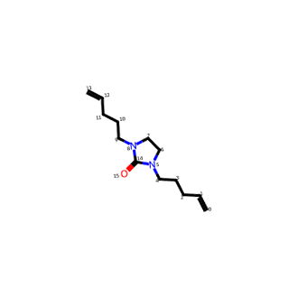 C=CCCCN1CCN(CCCC=C)C1=O